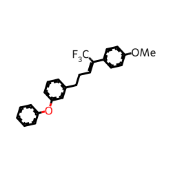 COc1ccc(C(=CCCc2cccc(Oc3ccccc3)c2)C(F)(F)F)cc1